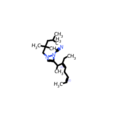 C/C=C\C/C=C(/CC)C(C)c1cn(CC(C)(C)CC(C)C)n1C#N